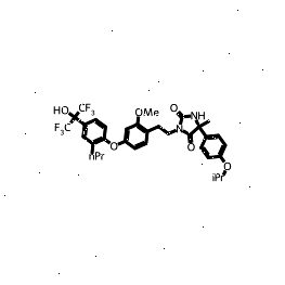 CCCc1cc(C(O)(C(F)(F)F)C(F)(F)F)ccc1Oc1ccc(CCN2C(=O)NC(C)(c3ccc(OC(C)C)cc3)C2=O)c(OC)c1